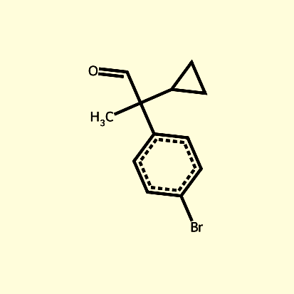 CC(C=O)(c1ccc(Br)cc1)C1CC1